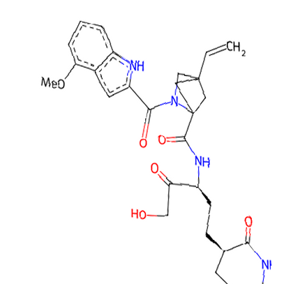 C=CC12CN(C(=O)c3cc4c(OC)cccc4[nH]3)C(C(=O)N[C@@H](CC[C@@H]3CCCNC3=O)C(=O)CO)(C1)C2